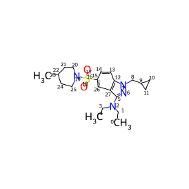 CCN(CC)c1nn(CC2CC2)c2ccc(S(=O)(=O)N3CCC(C)CC3)cc12